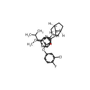 COc1cc(N2C[C@H]3CC[C@@H](C2)[C@H]3Nc2nc(Oc3ccc(F)c(Cl)c3)n(CC(C)C)n2)ccn1